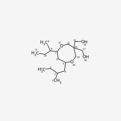 CCC(C)CC1CC(C(C)CC)OCC(CO)(CO)CO1